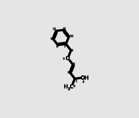 CC(O)C=COCc1ccccc1